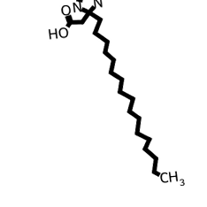 CCCCCCCCCCCCCCCCCC1(CC(=O)O)N=CC=N1